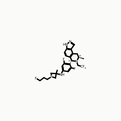 C[C@@H]1Cc2c(ccc3[nH]ncc23)[C@@H](c2c(F)cc(NC3(C)CN(CCCF)C3)cc2F)N1CC(F)(F)F